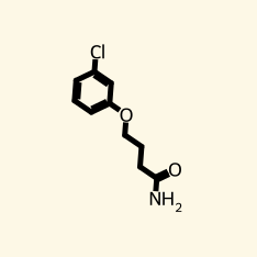 NC(=O)CCCOc1cccc(Cl)c1